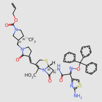 C=CCOC(=O)N1C[C@H](CN2CCC(=CC3=C(C(=O)O)N4C(=O)[C@@H](NC(=O)C(=NOC(c5ccccc5)(c5ccccc5)c5ccccc5)c5csc(N)n5)[C@H]4SC3)C2=O)[C@@H](C(F)(F)F)C1